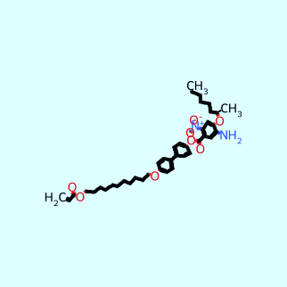 C=CC(=O)OCCCCCCCCCCCOc1ccc(-c2ccc(OC(=O)c3cc(N)c(O[C@H](C)CCCCCC)cc3[N+](=O)[O-])cc2)cc1